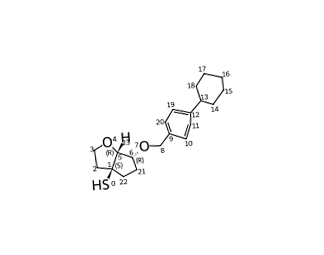 S[C@@]12CCO[C@@H]1[C@H](OCc1ccc(C3CCCCC3)cc1)CC2